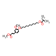 C=C(C)C(=O)OCCCCCCCCCCCOc1ccc(C=CC(=O)OC)cc1OC